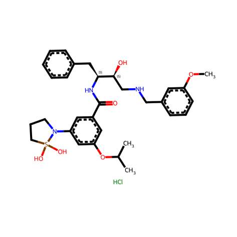 COc1cccc(CNC[C@H](O)[C@H](Cc2ccccc2)NC(=O)c2cc(OC(C)C)cc(N3CCCS3(O)O)c2)c1.Cl